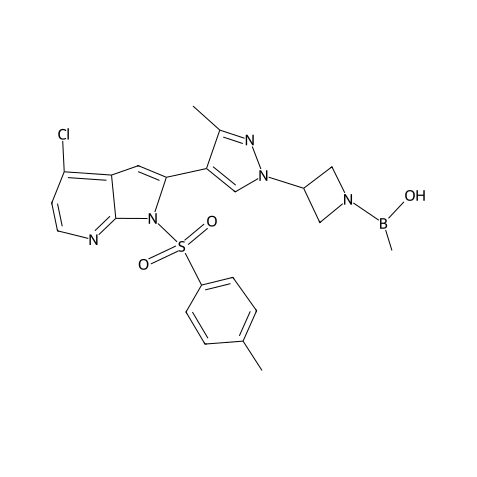 CB(O)N1CC(n2cc(-c3cc4c(Cl)ccnc4n3S(=O)(=O)c3ccc(C)cc3)c(C)n2)C1